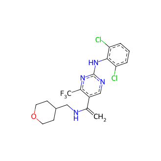 C=C(NCC1CCOCC1)c1cnc(Nc2c(Cl)cccc2Cl)nc1C(F)(F)F